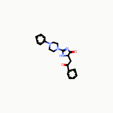 O=C(CC1NC(N2CCN(c3ccccc3)CC2)=NC1=O)c1ccccc1